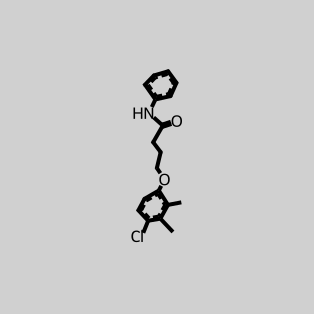 Cc1c(Cl)ccc(OCCCC(=O)Nc2ccccc2)c1C